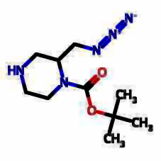 CC(C)(C)OC(=O)N1CCNCC1CN=[N+]=[N-]